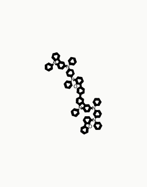 C1=C(N(c2ccccc2)c2ccc3c(c2)c2ccccc2n3-c2ccccc2)CCC(N(c2ccccc2)c2cccc3c2oc2cc(-c4ccc5c(c4)c4cc(N(c6ccccc6)c6cccc(N(c7ccccc7)c7cccc8c7oc7ccccc78)c6)ccc4n5-c4ccccc4)ccc23)=C1